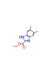 CCOC(=O)c1nc2cc(C)c(C)cc2[nH]1